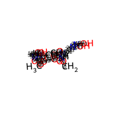 C=CCOC(=O)N1C[C@@H]2CC(c3ccc(N4CCN(C[C@@H](O)CO)CC4)cc3)=CN2C(=O)c2cc(OC)c(OCCCCCOc3cc4c(cc3OC)C(=O)N3CC5(CC5)C[C@H]3C(O)N4C(=O)OCC=C)cc21